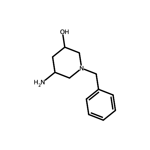 NC1CC(O)CN(Cc2ccccc2)C1